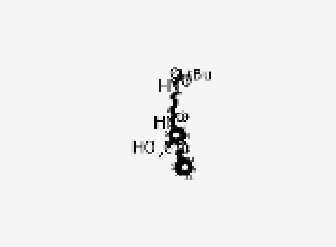 CC(C)(C)OC(=O)NCCCCC(=O)Nc1ccc(OCc2ccccc2)c(C(=O)O)c1